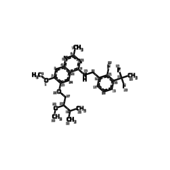 COc1cc2nc(C)nc(NCc3cccc(C(C)(F)F)c3F)c2cc1OCC(OC)C(C)C